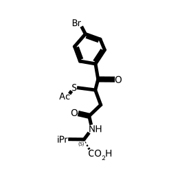 CC(=O)SC(CC(=O)N[C@H](C(=O)O)C(C)C)C(=O)c1ccc(Br)cc1